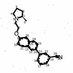 C[C@@H]1CCCN1CCOc1ccc2cc(-c3cccc(C#N)c3)ccc2c1